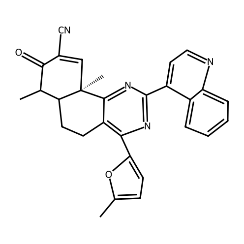 Cc1ccc(-c2nc(-c3ccnc4ccccc34)nc3c2CCC2C(C)C(=O)C(C#N)=C[C@@]32C)o1